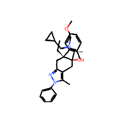 CC[C@]1(c2cc(OC)ccc2C)Cc2nn(-c3ccccc3)c(C)c2C[C@@]1(O)[C@@H](C)N(C)CC1CC1